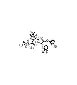 CCn1ccc(OCC(=O)[C@H](C[C@@H]2CCNC2=O)NC(=O)[C@@H]2[C@@H]3[C@H](CN2C(=O)[C@@H](NS(=O)(=O)C(F)(F)F)C(C)(C)C)C3(C)C)n1